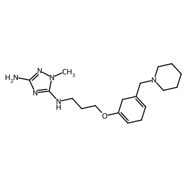 Cn1nc(N)nc1NCCCOC1=CCC=C(CN2CCCCC2)C1